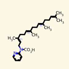 CC(C)=CCC/C(C)=C/CC/C(C)=C/CC/C(C)=C/CN(C(=O)O)c1ccccn1